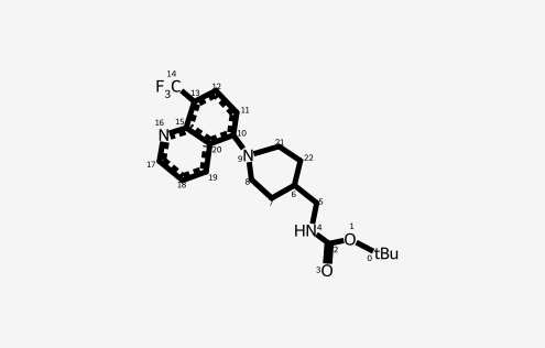 CC(C)(C)OC(=O)NCC1CCN(c2ccc(C(F)(F)F)c3ncccc23)CC1